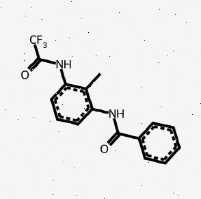 Cc1c(NC(=O)c2ccccc2)cccc1NC(=O)C(F)(F)F